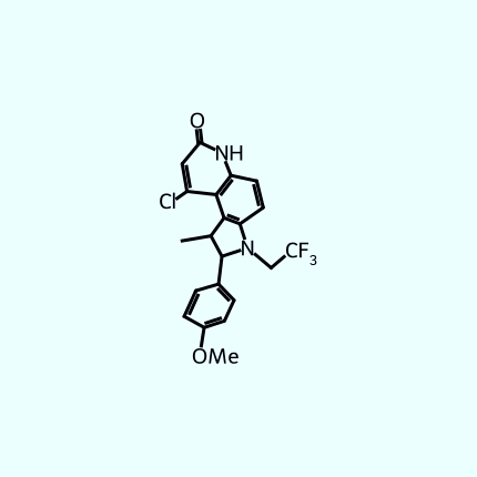 COc1ccc(C2C(C)c3c(ccc4[nH]c(=O)cc(Cl)c34)N2CC(F)(F)F)cc1